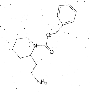 NCCC1CCCCN1C(=O)OCc1ccccc1